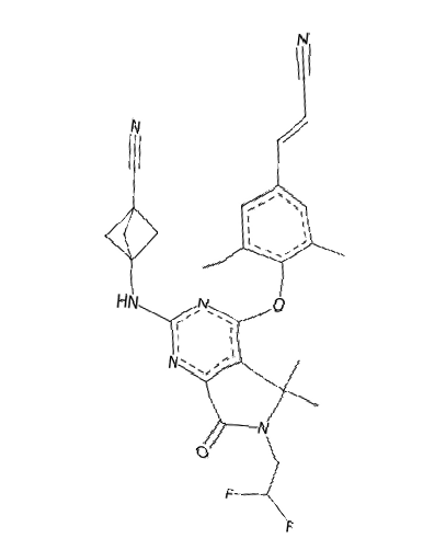 Cc1cc(/C=C/C#N)cc(C)c1Oc1nc(NC23CC(C#N)(C2)C3)nc2c1C(C)(C)N(CC(F)F)C2=O